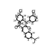 CC(C)c1ccc(C=C(C(N)=O)C(=O)N(c2ccnc(Cl)c2)c2ccnc(Cl)c2)cc1